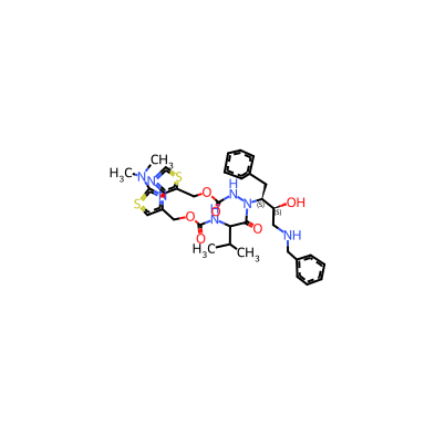 CC(C)C(NC(=O)OCc1csc(N(C)C)n1)C(=O)N(NC(=O)OCc1cncs1)[C@@H](Cc1ccccc1)[C@@H](O)CNCc1ccccc1